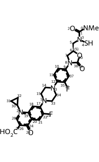 CNC(=O)N(S)C[C@@H]1CN(c2ccc(N3CCN(c4cc5c(cc4F)c(=O)c(C(=O)O)cn5C4CC4)CC3)c(F)c2)C(=O)O1